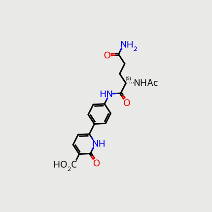 CC(=O)N[C@@H](CCC(N)=O)C(=O)Nc1ccc(-c2ccc(C(=O)O)c(=O)[nH]2)cc1